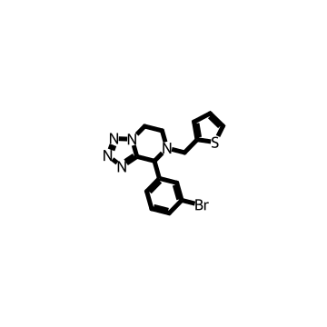 Brc1cccc(C2c3nnnn3CCN2Cc2cccs2)c1